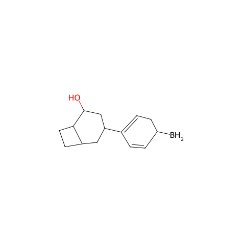 BC1C=CC(C2CC(O)C3CCC3C2)=CC1